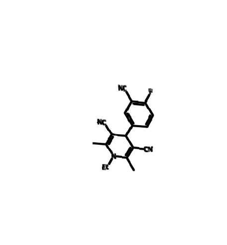 CCN1C(C)=C(C#N)C(c2ccc(F)c(C#N)c2)C(C#N)=C1C